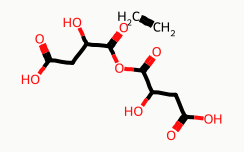 C=C.O=C(O)CC(O)C(=O)OC(=O)C(O)CC(=O)O